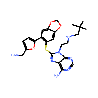 CC(C)(C)CNCCn1c(Sc2cc3c(cc2-c2ccc(CN)o2)OCO3)nc2c(N)ncnc21